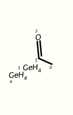 C[C]=O.[GeH4].[GeH4]